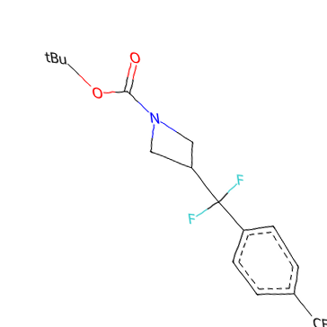 CC(C)(C)OC(=O)N1CC(C(F)(F)c2ccc(C(F)(F)F)cc2)C1